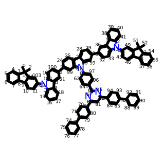 CC1(C)c2ccccc2-c2ccc(-n3c4ccccc4c4cc(-c5ccc6c7ccc(-c8ccc9c(c8)c8ccccc8n9-c8ccc9c(c8)C(C)(C)c8ccccc8-9)cc7n(-c7ccc(-c8nc(-c9ccc(-c%10ccccc%10)cc9)cc(-c9ccc(-c%10ccccc%10)cc9)n8)cc7)c6c5)ccc43)cc21